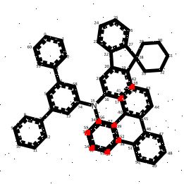 c1ccc(-c2cc(-c3ccccc3)cc(N(c3ccc4c(c3)-c3ccccc3C43CCCCC3)c3ccccc3-c3ccccc3-c3ccccc3-c3ccccc3)c2)cc1